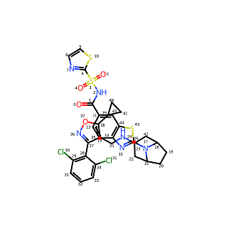 O=C(NS(=O)(=O)c1nccs1)c1ccc2nc(N3C4CCC3CC(NCc3c(-c5c(Cl)cccc5Cl)noc3C3CC3)C4)sc2c1